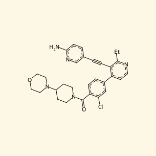 CCc1nccc(-c2ccc(C(=O)N3CCC(N4CCOCC4)CC3)c(Cl)c2)c1C#Cc1ccc(N)nc1